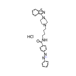 Cl.O=C(NCCCCN1CCN(c2nsc3ccccc23)CC1)c1ccc(/N=N/c2ccccc2)cc1